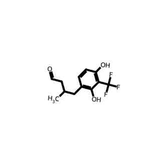 CC(CC=O)Cc1ccc(O)c(C(F)(F)F)c1O